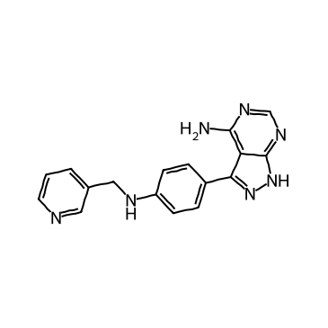 Nc1ncnc2[nH]nc(-c3ccc(NCc4cccnc4)cc3)c12